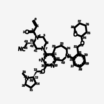 C=CC(=O)N1CCN(c2nc(OC[C@@H]3CCCN3C)nc3c2CCCN(c2ccccc2COC2CCCCO2)C3)C[C@@H]1CC#N